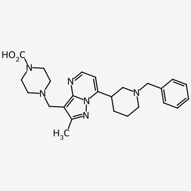 Cc1nn2c(C3CCCN(Cc4ccccc4)C3)ccnc2c1CN1CCN(C(=O)O)CC1